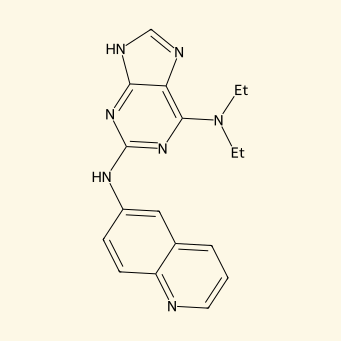 CCN(CC)c1nc(Nc2ccc3ncccc3c2)nc2[nH]cnc12